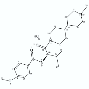 COc1ccc(C(=O)N[C@@H](C(=O)N2CCC(C3CCN(C)CC3)CC2)C(C)C)cc1.Cl